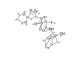 CC1(CC(OS(=O)(=O)C(F)(F)C(=O)NC2C3CC4CC(C3)CC2(O)C4)C(F)(F)F)OCCCO1